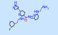 NCCNc1cccc(CNC(=O)c2ccc(-c3cn[nH]c3)nc2NCCc2cccc(F)c2)n1